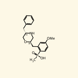 COc1ccc(P(C)(=O)O)c(C[C@@H]2CN[C@@H](Cc3ccccc3)CO2)c1